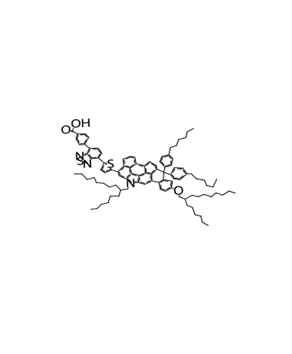 CCCCCCCCC(CCCCCC)COc1ccc2c(c1)C(c1ccc(CCCCCC)cc1)(c1ccc(CCCCCC)cc1)c1ccc3c4cccc5c(-c6ccc(-c7ccc(-c8ccc(C(=O)O)cc8)c8nsnc78)s6)cc6c(c54)c4c3c1c-2cc4n6CC(CCCCCC)CCCCCCCC